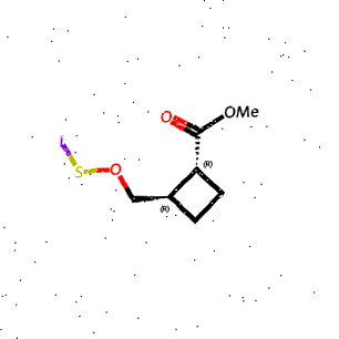 COC(=O)[C@@H]1CC[C@H]1COSI